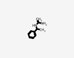 C=C(N)NC(C)c1ccccc1